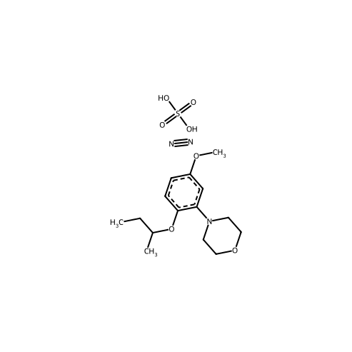 CCC(C)Oc1ccc(OC)cc1N1CCOCC1.N#N.O=S(=O)(O)O